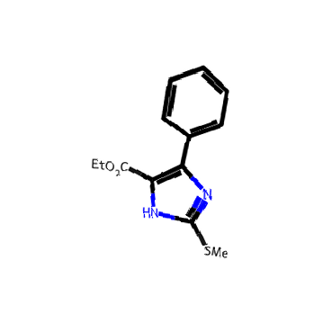 CCOC(=O)c1[nH]c(SC)nc1-c1ccccc1